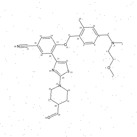 COCCN(C)Cc1ccc(COc2ccc(C#N)cc2-c2csc(N3CCC(C=O)CC3)n2)c(C)c1